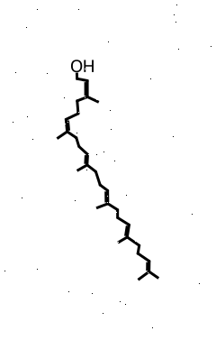 CC(C)=CCC/C(C)=C/CC/C(C)=C/CC/C(C)=C/CC/C(C)=C\CC/C(C)=C\CO